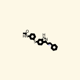 CC(=O)Nc1cccc(Sc2ccc3c(/C=C/c4ccccc4)n[nH]c3c2)c1